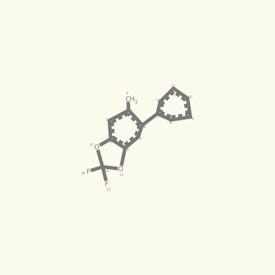 Cc1cc2c(cc1-c1cc[c]cc1)OC(F)(F)O2